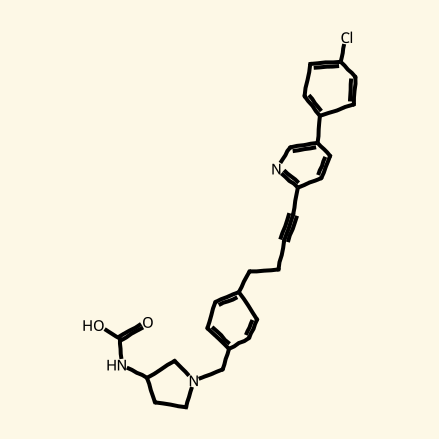 O=C(O)NC1CCN(Cc2ccc(CCC#Cc3ccc(-c4ccc(Cl)cc4)cn3)cc2)C1